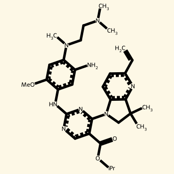 C=Cc1ccc2c(n1)C(C)(C)CN2c1nc(Nc2cc(N)c(N(C)CCN(C)C)cc2OC)ncc1C(=O)OC(C)C